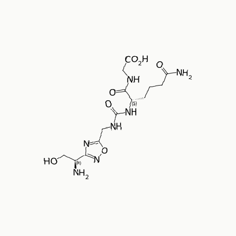 NC(=O)CCC[C@H](NC(=O)NCc1nc([C@@H](N)CO)no1)C(=O)NCC(=O)O